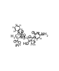 CC(C)OC(=O)[C@H](C)NP(=O)(OCC1O[C@@H](n2ccc(N)nc2=O)[C@@]2(CCS2)[C@@H]1O)Oc1ccccc1